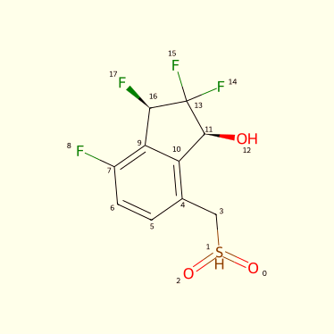 O=[SH](=O)Cc1ccc(F)c2c1[C@H](O)C(F)(F)[C@@H]2F